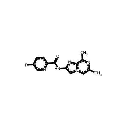 Cc1cn2cc(NC(=O)c3ccc(F)cn3)nc2c(C)n1